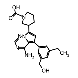 CCc1cc(CO)cc(-c2cc(C3CCCN(C(=O)O)C3)n3ncnc(N)c23)c1